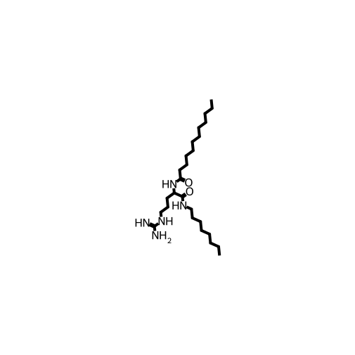 CCCCCCCCCCCC(=O)NC(CCCNC(=N)N)C(=O)NCCCCCCCC